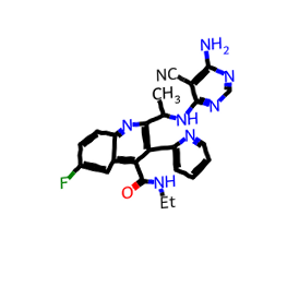 CCNC(=O)c1c(-c2ccccn2)c(C(C)Nc2ncnc(N)c2C#N)nc2ccc(F)cc12